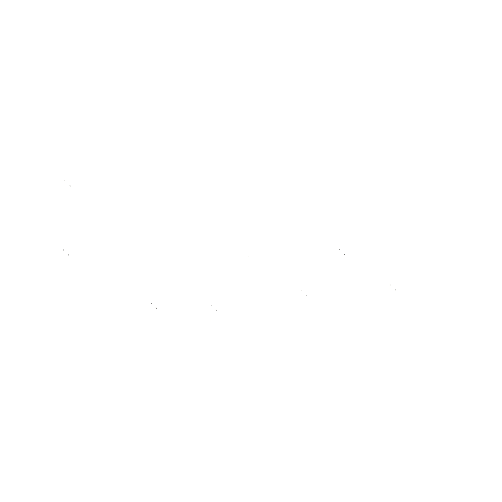 O=C(Cn1cnc(N2CCOCC2)c1)Nc1ccc(-c2cnccn2)cn1